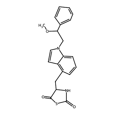 COC(Cn1ccc2c(CC3NC(=O)SC3=O)cccc21)c1ccccc1